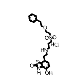 Cl.O=c1[nH]c2c(O)ccc(CCNCCCS(=O)(=O)CCOCCc3ccccc3)c2s1